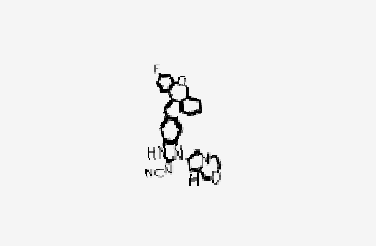 N#C/N=c1\[nH]c2cc(/C=C3\c4ccccc4COc4cc(F)ccc43)ccc2n1[C@H]1C[C@@H]2COCCN2C1